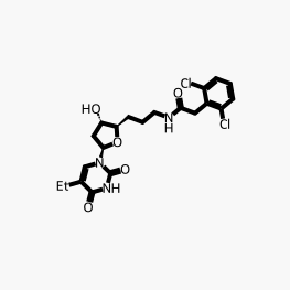 CCc1cn([C@H]2C[C@H](O)[C@@H](CCCNC(=O)Cc3c(Cl)cccc3Cl)O2)c(=O)[nH]c1=O